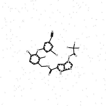 N#Cc1cc(Cl)cc(Oc2c(Cl)ccc(CNC(=O)c3cc4c(ncn4OC(=O)C(F)(F)F)[nH]3)c2F)c1